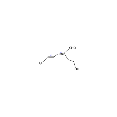 C/C=C/C=C(/C=O)CCO